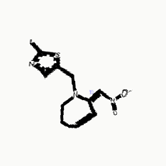 O=[N+]([O-])/C=C1\C=CCCN1Cc1cnc(I)s1